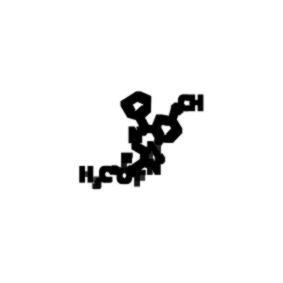 C#Cc1ccc2c(c1)C(c1ccccc1)=NCc1c(C(F)(F)OCC)ncn1-2